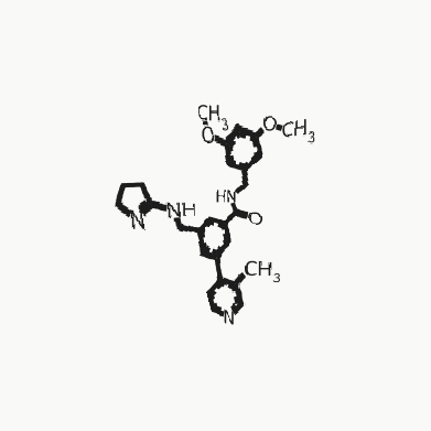 COc1cc(CNC(=O)c2cc(CNC3=NCCC3)cc(-c3ccncc3C)c2)cc(OC)c1